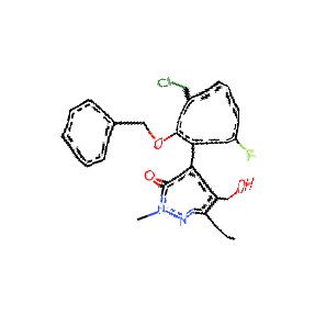 Cc1nn(C)c(=O)c(-c2c(F)ccc(Cl)c2OCc2ccccc2)c1O